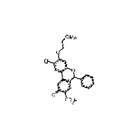 COCCOc1cc2c(cc1Cl)-c1cc(=O)c(C(=O)O)cn1C(c1ccccc1)O2